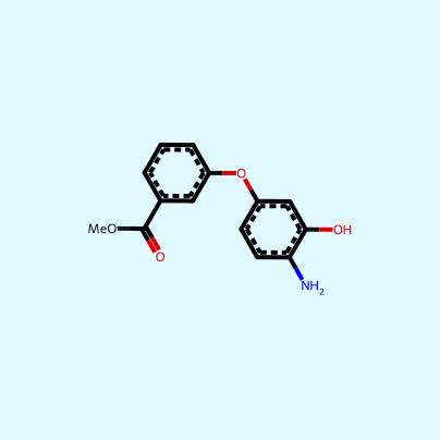 COC(=O)c1cccc(Oc2ccc(N)c(O)c2)c1